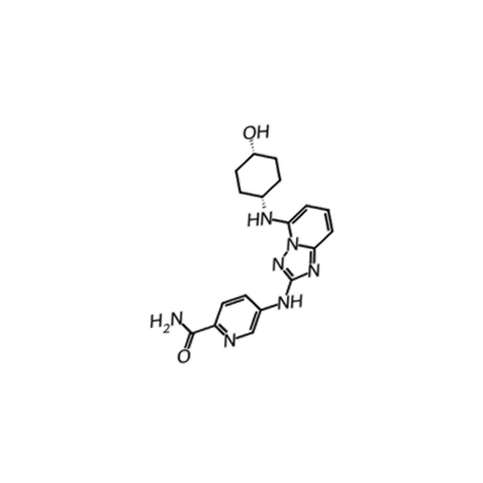 NC(=O)c1ccc(Nc2nc3cccc(N[C@H]4CC[C@@H](O)CC4)n3n2)cn1